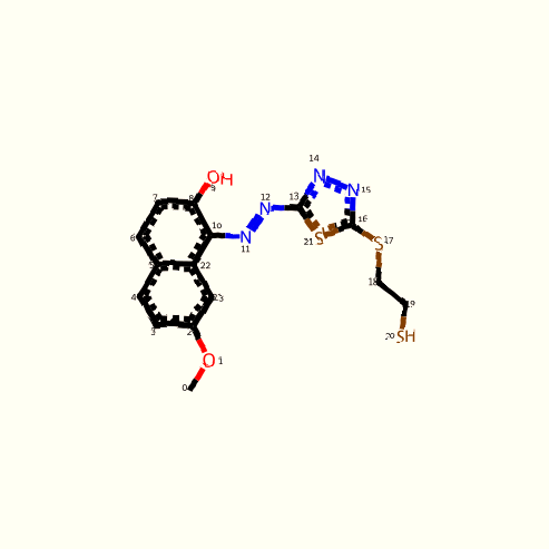 COc1ccc2ccc(O)c(/N=N/c3nnc(SCCS)s3)c2c1